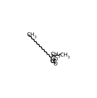 CCCCC=C(C)C(CCCCCCCCCCCCCCCCCC)N1CCC(=O)C1=O